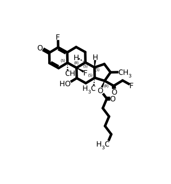 CCCCCC(=O)O[C@]1(C(=O)CF)C(C)C[C@H]2[C@@H]3CCC4=C(F)C(=O)C=C[C@]4(C)[C@@]3(F)C(O)C[C@@]21C